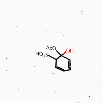 CC(=O)OC1(O)C=CC=CC1S(=O)(=O)O